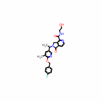 Cc1cc(C(C)N2Cc3c(ccnc3C(=O)NCCO)C2=O)cnc1OCc1ccc(F)cc1